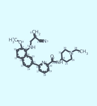 C=C(C#N)CNc1c(OC)ccc2ccc(-c3cccc(C(=O)NC4CCN(CC)CC4)n3)cc12